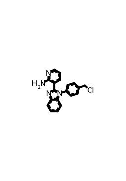 Nc1ncccc1-c1nc2ccccc2n1-c1ccc(CCl)cc1